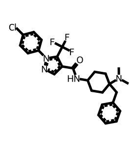 CN(C)C1(Cc2ccccc2)CCC(NC(=O)c2cnn(-c3ccc(Cl)cc3)c2C(F)(F)F)CC1